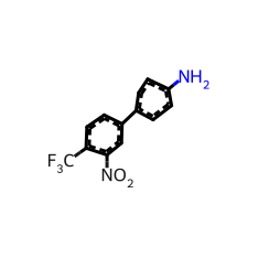 Nc1ccc(-c2ccc(C(F)(F)F)c([N+](=O)[O-])c2)cc1